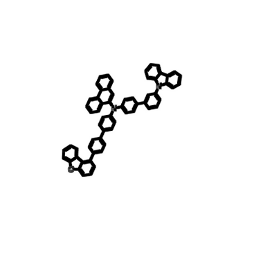 c1cc(-c2ccc(N(c3ccc(-c4ccc(-c5cccc6oc7ccccc7c56)cc4)cc3)c3cc4ccccc4c4ccccc34)cc2)cc(-n2c3ccccc3c3ccccc32)c1